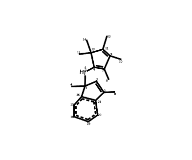 CC1=C[C](C)([Hf][C]2=C(C)C(C)=C(C)C2(C)C)c2ccccc21